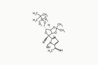 CC(=N)c1ccc([C@]2(C#N)O[C@H](CO[Si](C)(C)C(C)(C)C)[C@H]3OC(C)(C)O[C@H]32)n1C=N